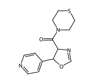 O=C(C1N=COC1c1ccncc1)N1CCSCC1